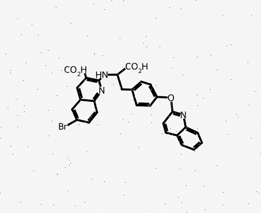 O=C(O)c1cc2cc(Br)ccc2nc1NC(Cc1ccc(Oc2ccc3ccccc3n2)cc1)C(=O)O